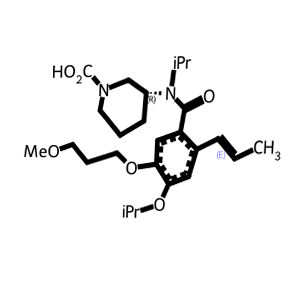 C/C=C/c1cc(OC(C)C)c(OCCCOC)cc1C(=O)N(C(C)C)[C@@H]1CCCN(C(=O)O)C1